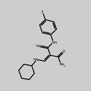 N=C(Nc1ccc(F)cc1)/C(=C\NC1CCCCC1)C(N)=O